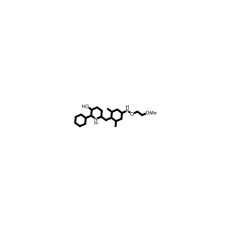 COCCONC1CC(C)C(CC2CCC(O)C(C3CCCCC3)N2)C(C)C1